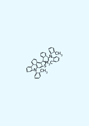 Cc1ccccc1N(c1ccccc1C)c1cc2sc3cc4c5c(cccc5c3c2c2ccccc12)-c1ccccc1N4c1ccccc1C